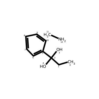 CCC(O)(O)c1ccccc1.CN